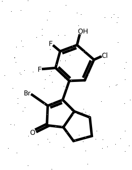 O=C1C(Br)=C(c2cc(Cl)c(O)c(F)c2F)C2CCCC12